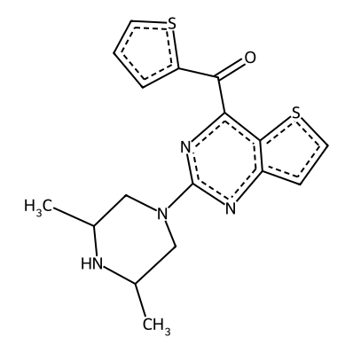 CC1CN(c2nc(C(=O)c3cccs3)c3sccc3n2)CC(C)N1